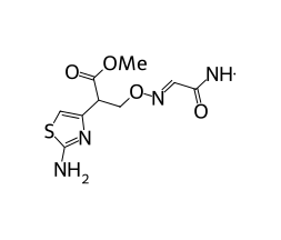 COC(=O)C(CON=CC([NH])=O)c1csc(N)n1